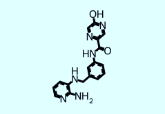 Nc1ncccc1NCc1cccc(NC(=O)c2cnc(O)cn2)c1